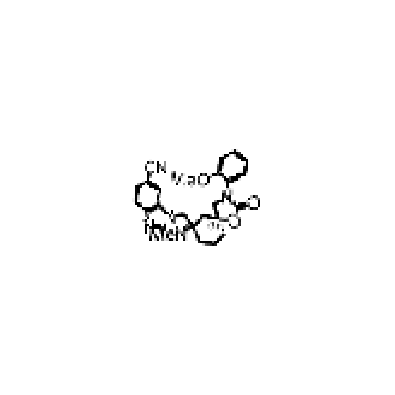 CN[C@]1(Cn2cnc3ccc(C#N)cc32)CCC[C@@]2(CN(c3ccccc3OC)C(=O)O2)C1